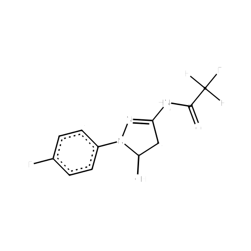 CC1CC(NC(=O)C(F)(F)F)=NN1c1ccc(F)cc1